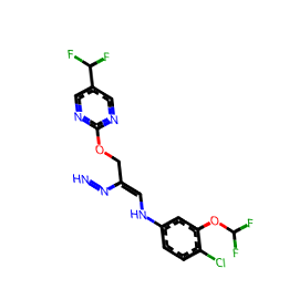 N=N/C(=C\Nc1ccc(Cl)c(OC(F)F)c1)COc1ncc(C(F)F)cn1